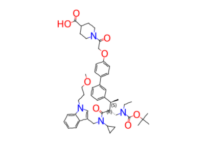 CCN(C[C@H](C(=O)N(Cc1cn(CCCOC)c2ccccc12)C1CC1)[C@H](C)c1cccc(-c2ccc(OCC(=O)N3CCC(C(=O)O)CC3)cc2)c1)C(=O)OC(C)(C)C